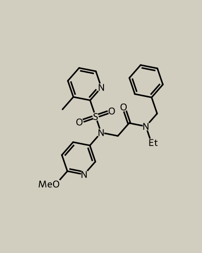 CCN(Cc1ccccc1)C(=O)CN(c1ccc(OC)nc1)S(=O)(=O)c1ncccc1C